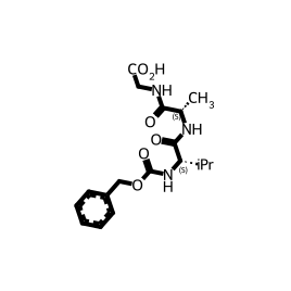 CC(C)[C@H](NC(=O)OCc1ccccc1)C(=O)N[C@@H](C)C(=O)NCC(=O)O